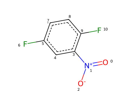 O=[N+]([O-])c1cc(F)[c]cc1F